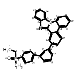 CCP(C)(=O)c1ccc(-c2cccc(-c3ccc4c5ccccc5n5c6ccccc6nc5c4c3)c2)cc1